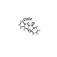 COc1cccc2cc3oc4ccccc4c(=O)c3cc12